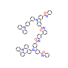 c1ccc(-n2c3ccccc3c3cccc(-c4ccc(-n5c6ccc(-c7nc8ccccc8o7)cc6c6cc(-c7nc8cc(-c9cccc%10nc(-c%11ccc%12c(c%11)c%11cc(-c%13nc%14ccccc%14o%13)ccc%11n%12-c%11cccc(-c%12ccc(-n%13c%14ccccc%14c%14ccccc%14%13)cc%12)c%11)oc9%10)ccc8o7)ccc65)cc4)c32)cc1